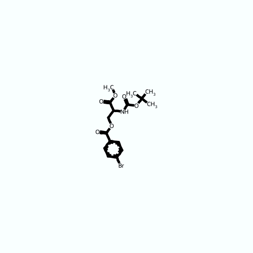 COC(=O)C(COC(=O)c1ccc(Br)cc1)NC(=O)OC(C)(C)C